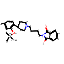 CCc1ccc(C2CCN(CCCCN3C(=O)c4ccccc4C3=O)CC2)c(O[Si](C)(C)C(C)(C)C)c1